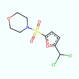 O=S(=O)(c1ccc(C(Cl)Cl)o1)N1CCOCC1